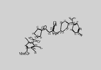 COc1cc(C)c(S(=O)(=O)N2CCC(OCC(=O)NC3CCC(C(c4ccc(F)cc4)N(C)C)CC3)C2)c(C)c1C